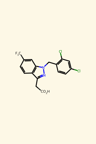 O=C(O)Cc1nn(Cc2ccc(Cl)cc2Cl)c2cc(C(F)(F)F)ccc12